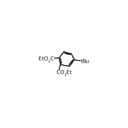 CCOC(=O)c1ccc(C(C)(C)C)cc1C(=O)OCC